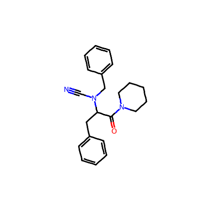 N#CN(Cc1ccccc1)C(Cc1ccccc1)C(=O)N1CCCCC1